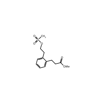 COC(=O)CCc1ccccc1CCOS(C)(=O)=O